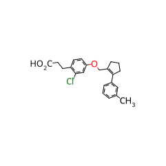 Cc1cccc(C2=C(COc3ccc(CCC(=O)O)c(Cl)c3)CCC2)c1